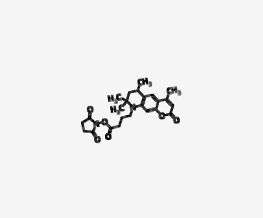 Cc1cc(=O)oc2cc3c(cc12)C(C)CC(C)(C)N3CCCC(=O)ON1C(=O)CCC1=O